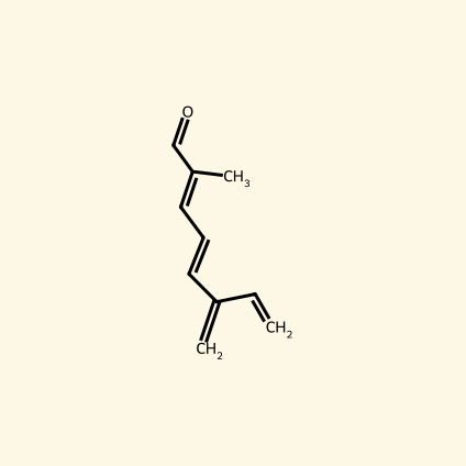 C=CC(=C)/C=C/C=C(\C)C=O